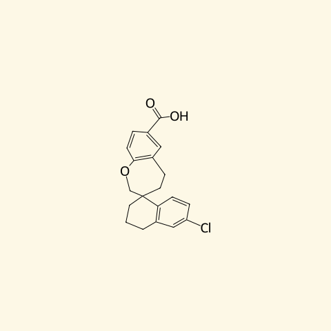 O=C(O)c1ccc2c(c1)CCC1(CCCc3cc(Cl)ccc31)CO2